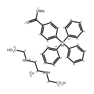 COC(=O)c1ccc([PH](c2ccccc2)(c2ccccc2)c2ccccc2)cc1.O=C(O)CNCCNCC(=O)O.[Cu]